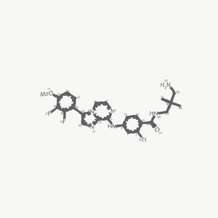 CCc1cc(Nc2nccn3c(-c4ccc(OC)c(F)c4F)cnc23)ccc1C(=O)NCC(C)(C)CN